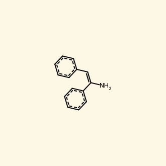 N/C(=C/c1ccccc1)c1ccccc1